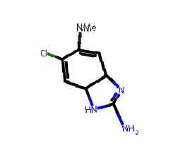 CNC1=CC2N=C(N)NC2C=C1Cl